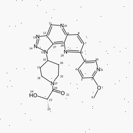 COc1ccc(-c2ccc3ncc4nnn(C5CCN(C(=O)[C@H](C)O)CC5)c4c3n2)cn1